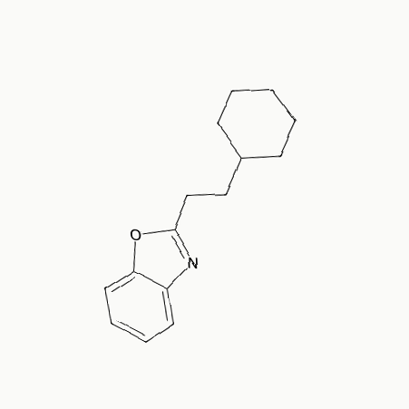 c1ccc2oc(CCC3CCCCC3)nc2c1